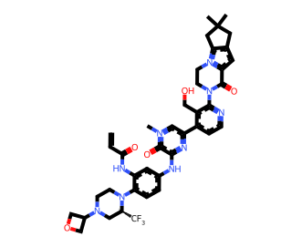 C=CC(=O)Nc1cc(Nc2nc(-c3ccnc(N4CCn5c(cc6c5CC(C)(C)C6)C4=O)c3CO)cn(C)c2=O)ccc1N1CCN(C2COC2)C[C@@H]1C(F)(F)F